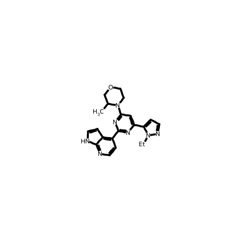 CCn1nccc1-c1cc(N2CCOCC2C)nc(-c2ccnc3[nH]ccc23)n1